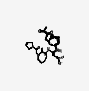 CC(=O)c1cc2cc(NC(=C[N+](=O)[O-])N[C@H]3CCCCN(CC(=O)N4CCCC4)C3=O)ccc2o1